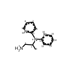 CC(CN)N(c1ccccn1)c1ccccn1